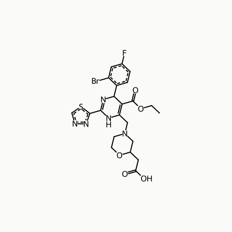 CCOC(=O)C1=C(CN2CCOC(CC(=O)O)C2)NC(c2nncs2)=NC1c1ccc(F)cc1Br